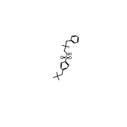 CC(C)(C)Cc1ccc(S(=O)(=O)NCC(C)(C)Cc2ccccc2)cc1